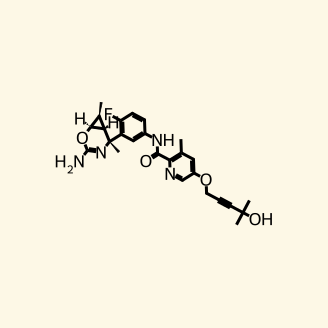 Cc1cc(OCC#CC(C)(C)O)cnc1C(=O)Nc1ccc(F)c([C@]2(C)N=C(N)O[C@H]3[C@@H](C)[C@@H]32)c1